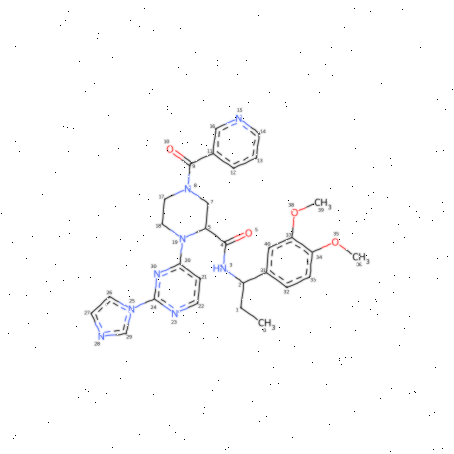 CCC(NC(=O)C1CN(C(=O)c2cccnc2)CCN1c1ccnc(-n2ccnc2)n1)c1ccc(OC)c(OC)c1